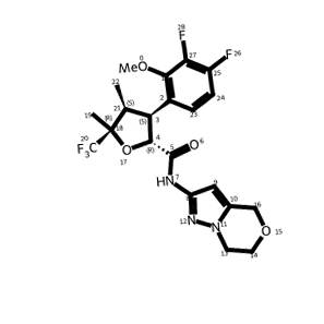 COc1c([C@H]2[C@H](C(=O)Nc3cc4n(n3)CCOC4)O[C@@](C)(C(F)(F)F)[C@H]2C)ccc(F)c1F